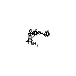 CCCN(CC1CC1)C[C@@H]1CCC(=O)N1c1ccc(OCCCN2CCCCC2)cc1